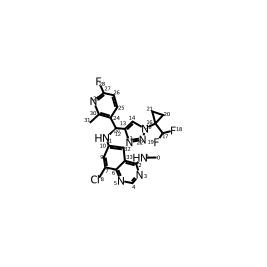 CNc1ncnc2c(Cl)cc(N[C@H](c3cn(C4(C(F)F)CC4)nn3)c3ccc(F)nc3C)cc12